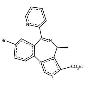 CCOC(=O)c1ncn2c1[C@H](C)N=C(c1ccccn1)c1cc(Br)ccc1-2